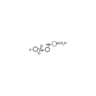 O=C(Nc1cccc(NC2CCN(C(=O)O)CC2)c1)c1ccc(F)cc1Cl